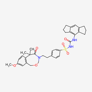 COc1ccc2c(c1)COCN(CCc1ccc(S(=O)(=O)NC(=O)Nc3c4c(cc5c3CCC5)CCC4)cc1)C(=O)C2(C)C